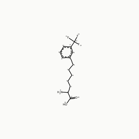 NC(CCCCCc1cccc(C(F)(F)F)c1)C(=O)O